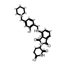 O=C1CCC(N2C(=O)c3cccc(NCc4ccc(CN5CCCCC5)cc4F)c3C2=O)C(=O)N1